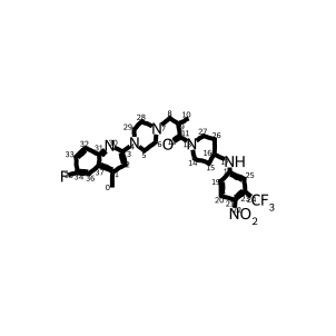 Cc1cc(N2CCN(CC(C)C(=O)N3CCC(Nc4ccc([N+](=O)[O-])c(C(F)(F)F)c4)CC3)CC2)nc2ccc(F)cc12